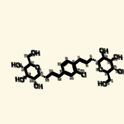 OC[C@H]1O[C@H](C/C=C/c2ccc(/C=C/C[C@H]3O[C@H](CO)[C@@H](O)[C@H](O)[C@H]3O)cc2Cl)[C@@H](O)[C@@H](O)[C@@H]1O